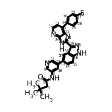 CC(C)(C)CC(=O)Nc1cncc(-c2ccc3[nH]nc(-c4nc5c(-c6ccc(F)cc6)ccnc5[nH]4)c3c2)c1